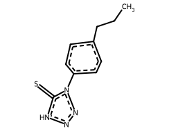 CCCc1ccc(-n2nn[nH]c2=S)cc1